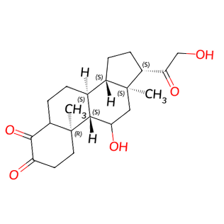 C[C@]12CC(O)[C@H]3[C@@H](CCC4C(=O)C(=O)CC[C@@]43C)[C@@H]1CC[C@@H]2C(=O)CO